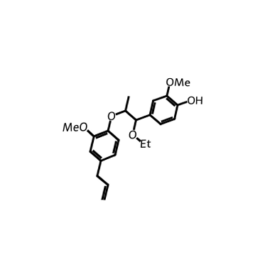 C=CCc1ccc(OC(C)C(OCC)c2ccc(O)c(OC)c2)c(OC)c1